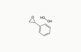 OO.c1ccc(C2CO2)cc1